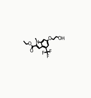 CCOC(=O)c1cc2c(C(F)(F)F)cc(OCCO)cc2n1C